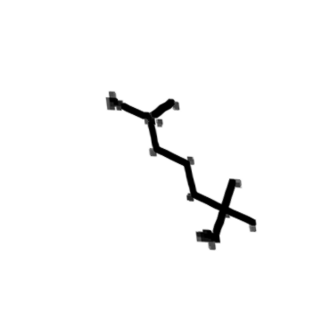 CCCCC(C)(C)CCCN(C)C(C)C